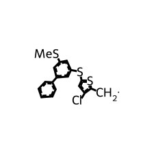 [CH2]c1sc(Sc2cc(SC)cc(-c3ccccc3)c2)cc1Cl